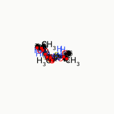 Cc1ccc(NC(=O)Nc2nc(CC(=O)ON(Cc3nsc(NC(=O)Nc4ccc(C)cc4C(=O)C4CCCC4)n3)S(C)(=O)=O)ns2)c(C(=O)C2CCCC2)c1